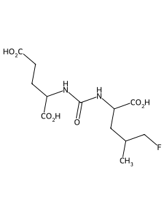 CC(CF)CC(NC(=O)NC(CCC(=O)O)C(=O)O)C(=O)O